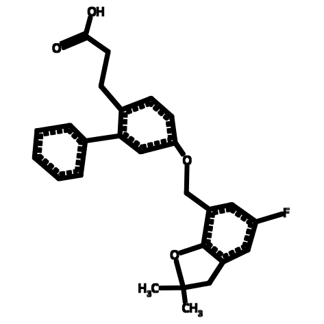 CC1(C)Cc2cc(F)cc(COc3ccc(CCC(=O)O)c(-c4ccccc4)c3)c2O1